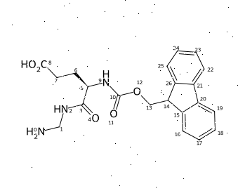 NCNC(=O)[C@@H](CCC(=O)O)NC(=O)OCC1c2ccccc2-c2ccccc21